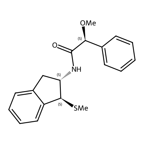 CO[C@H](C(=O)N[C@H]1Cc2ccccc2[C@@H]1SC)c1ccccc1